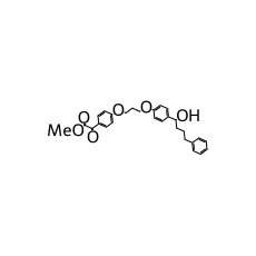 COC(=O)C(=O)c1ccc(OCCCOc2ccc(C(O)CCCc3ccccc3)cc2)cc1